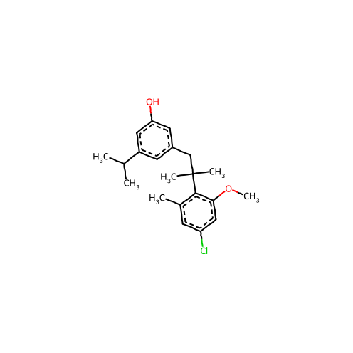 COc1cc(Cl)cc(C)c1C(C)(C)Cc1cc(O)cc(C(C)C)c1